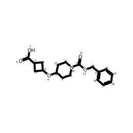 O=C(O)C1CC(OC2CCN(C(=O)OCc3ccccc3)CC2)C1